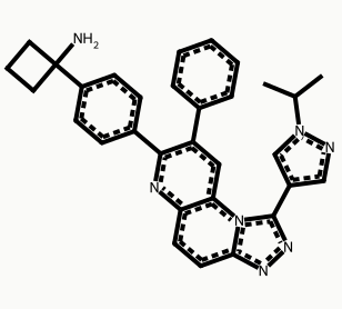 CC(C)n1cc(-c2nnc3ccc4nc(-c5ccc(C6(N)CCC6)cc5)c(-c5ccccc5)cc4n23)cn1